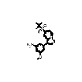 COc1cc(N)cc(-c2cnn3ccc(S(=O)(=O)C(C)(C)C)cc23)c1